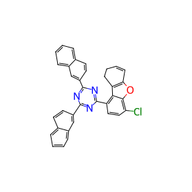 Clc1ccc(-c2nc(-c3ccc4ccccc4c3)nc(-c3ccc4ccccc4c3)n2)c2c3c(oc12)C=CCC3